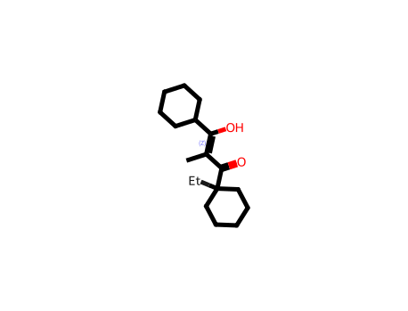 CCC1(C(=O)/C(C)=C(\O)C2CCCCC2)CCCCC1